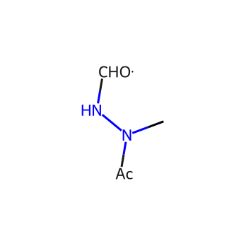 CC(=O)N(C)N[C]=O